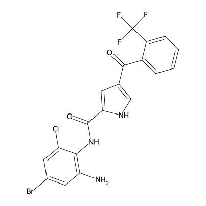 Nc1cc(Br)cc(Cl)c1NC(=O)c1cc(C(=O)c2ccccc2C(F)(F)F)c[nH]1